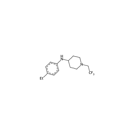 CCc1ccc(NC2CCN(CC(F)(F)F)CC2)cc1